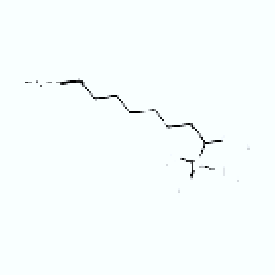 CCCCCCCCCCCCCCCCC(C)[N+](C)(C)C.[Br-]